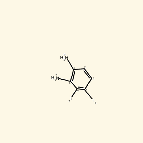 Nc1ccc(I)c(I)c1N